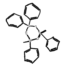 C[Si]1(c2ccccc2)O[Si](C)(c2ccccc2)O[Si](c2ccccc2)(c2ccccc2)O1